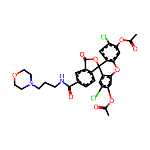 CC(=O)Oc1cc2c(cc1Cl)C1(OC(=O)c3cc(C(=O)NCCCN4CCOCC4)ccc31)c1cc(Cl)c(OC(C)=O)cc1O2